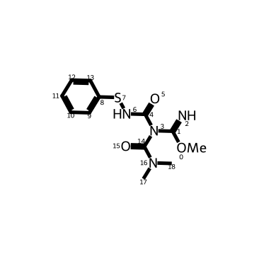 COC(=N)N(C(=O)NSc1ccccc1)C(=O)N(C)C